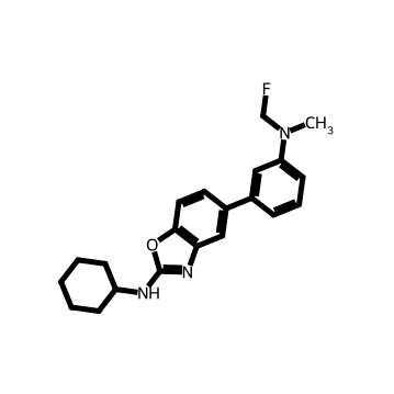 CN(CF)c1cccc(-c2ccc3oc(NC4CCCCC4)nc3c2)c1